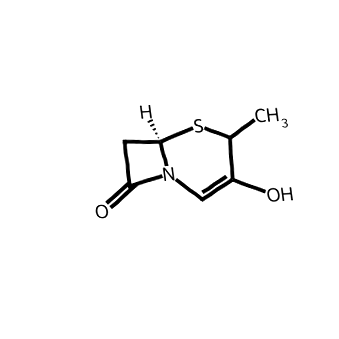 CC1S[C@@H]2CC(=O)N2C=C1O